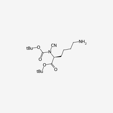 CC(C)(C)OC(=O)[C@H](CCCCN)N(C#N)C(=O)OC(C)(C)C